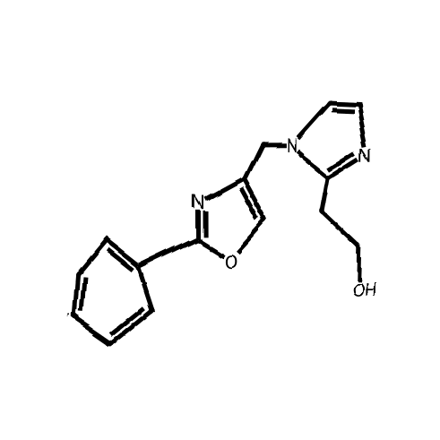 OCCc1nccn1Cc1coc(-c2cc[c]cc2)n1